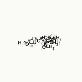 COc1ccc(COCC(CO[Si](C)(C)C(C)(C)C)OS(C)(=O)=O)cc1